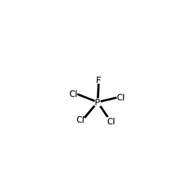 FP(Cl)(Cl)(Cl)Cl